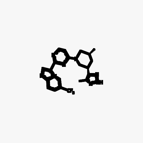 Cc1n[nH]nc1[C@H]1C[C@@H](C)CN(c2ccnc(-c3cnc4ccc(C(F)(F)F)cn34)n2)C1